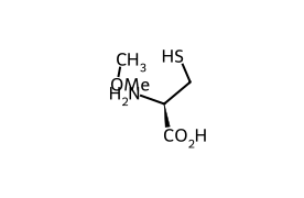 COC.N[C@@H](CS)C(=O)O